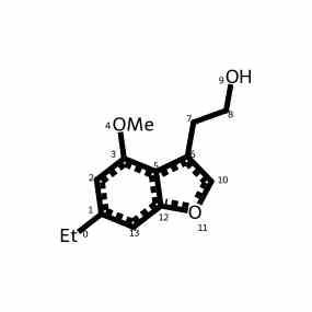 CCc1cc(OC)c2c(CCO)coc2c1